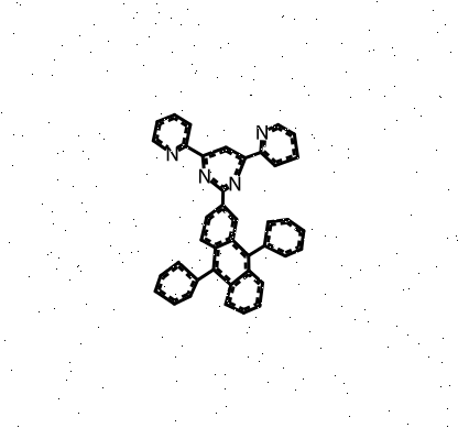 c1ccc(-c2c3ccccc3c(-c3ccccc3)c3cc(-c4nc(-c5ccccn5)cc(-c5ccccn5)n4)ccc23)cc1